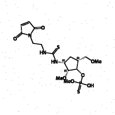 COC[C@H]1C[C@@H](NC(=S)NCCN2C(=O)C=CC2=O)[C@@H](OC)C1OP(O)(=S)OC